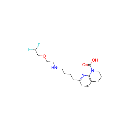 O=C(O)N1CCCc2ccc(CCCCNCCOCC(F)F)nc21